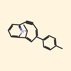 CC/C1=C\C(c2ccc(C)cc2)=C/C#Cc2cccc1[n+]2C